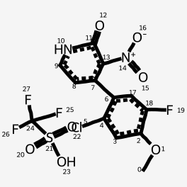 COc1cc(Cl)c(-c2cc[nH]c(=O)c2[N+](=O)[O-])cc1F.O=S(=O)(O)C(F)(F)F